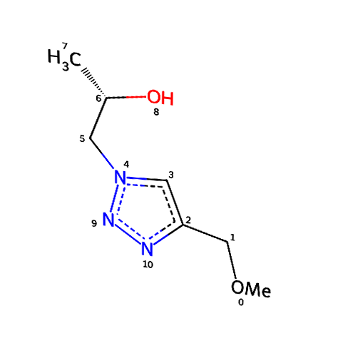 COCc1cn(C[C@H](C)O)nn1